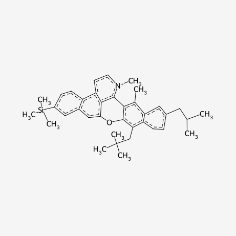 Cc1c2c(c(CC(C)(C)C)c3ccc(CC(C)C)cc13)Oc1cc3cc([Si](C)(C)C)ccc3c3cc[n+](C)c-2c13